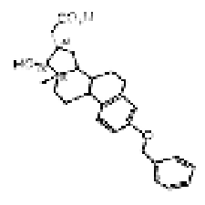 C[C@]12CCC3c4ccc(OCc5ccccc5)cc4CCC3C1C[C@@H](CC(=O)O)[C@@H]2O